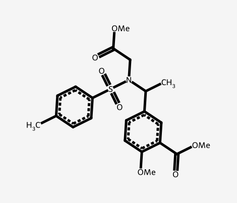 COC(=O)CN(C(C)c1ccc(OC)c(C(=O)OC)c1)S(=O)(=O)c1ccc(C)cc1